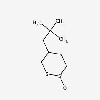 CC(C)(C)CC1CC[S+]([O-])SC1